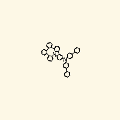 c1ccc(-c2ccc(N(c3ccc(-c4ccccc4)cc3)c3ccc4c(c3)c3cccc5c6ccccc6c6ccccc6c6ccccc6n4c53)cc2)cc1